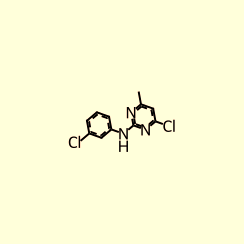 Cc1cc(Cl)nc(Nc2cccc(Cl)c2)n1